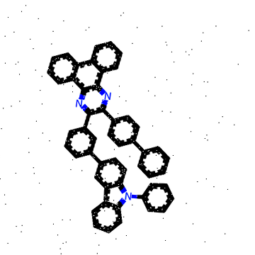 c1ccc(-c2ccc(-c3nc4c5ccccc5c5ccccc5c4nc3-c3cccc(-c4ccc5c(c4)c4ccccc4n5-c4ccccc4)c3)cc2)cc1